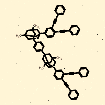 CC12CC3(C)CC(c4ccc(C56CC7(C)CC(C)(C5)CC(c5ccc(C#Cc8ccccc8)c(C#Cc8ccccc8)c5)(C7)C6)cc4)(C1)CC(c1ccc(C#Cc4ccccc4)c(C#Cc4ccccc4)c1)(C2)C3